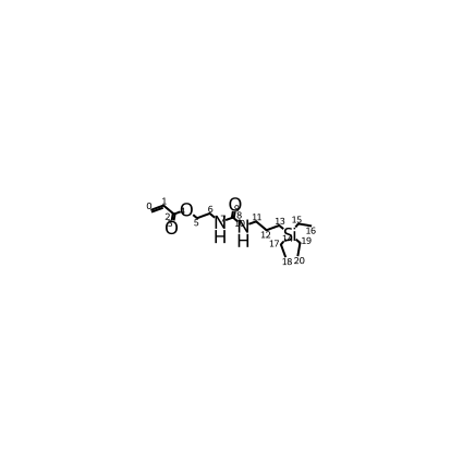 C=CC(=O)OCCNC(=O)NCCC[Si](CC)(CC)CC